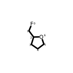 FCC1CCCO1